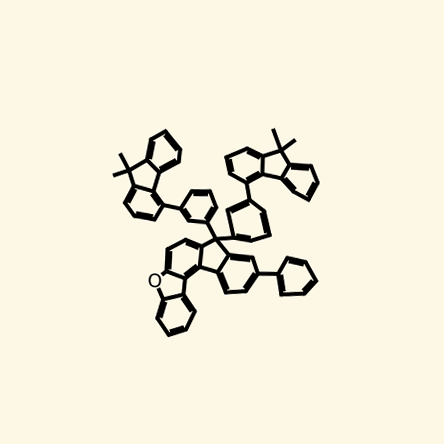 CC1(C)c2ccccc2-c2c(-c3cccc(C4(c5cccc(-c6cccc7c6-c6ccccc6C7(C)C)c5)c5cc(-c6ccccc6)ccc5-c5c4ccc4oc6ccccc6c54)c3)cccc21